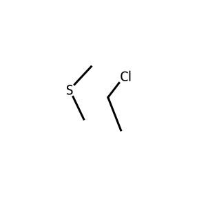 CCCl.CSC